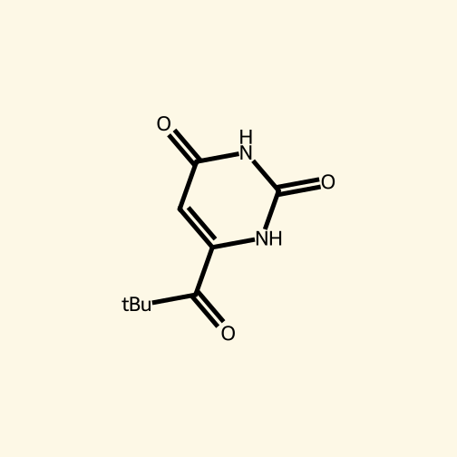 CC(C)(C)C(=O)c1cc(=O)[nH]c(=O)[nH]1